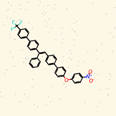 O=[N+]([O-])c1ccc(Oc2ccc(-c3ccc(/C=C(\c4ccccc4)c4ccc(-c5ccc(C(F)(F)F)cc5)cc4)cc3)cc2)cc1